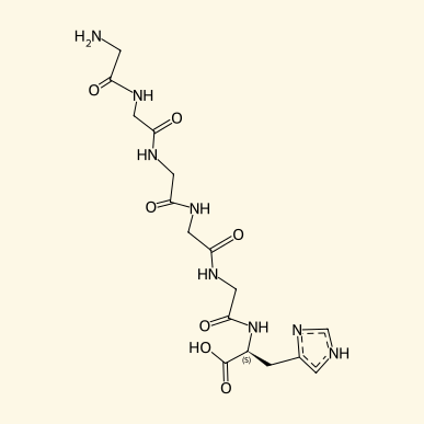 NCC(=O)NCC(=O)NCC(=O)NCC(=O)NCC(=O)N[C@@H](Cc1c[nH]cn1)C(=O)O